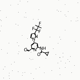 CC(C)(F)C(F)(F)c1ccn(-c2cc(C=O)nc(NC(=O)C3CC3)c2)n1